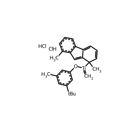 Cl.Cl.[CH2]=[Ti]([O]c1cc(C)cc(C(C)(C)C)c1)[C]1(C)C=CC=C2C1=Cc1c(C)cccc12